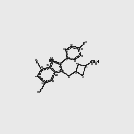 O=C(O)C1CC(Cc2c(-c3ccc(F)cc3)[nH]c3c(F)cc(F)cc23)C1